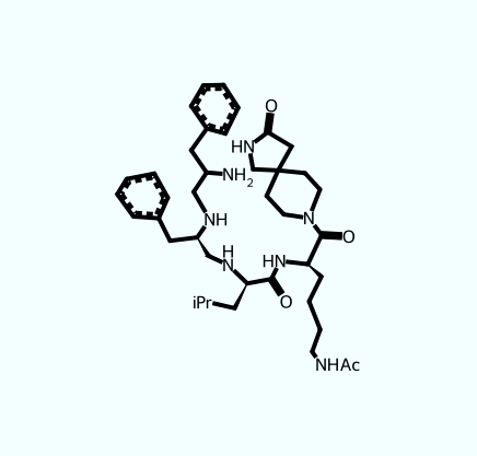 CC(=O)NCCCC[C@@H](NC(=O)[C@@H](CC(C)C)NC[C@@H](Cc1ccccc1)NCC(N)Cc1ccccc1)C(=O)N1CCC2(CC1)CNC(=O)C2